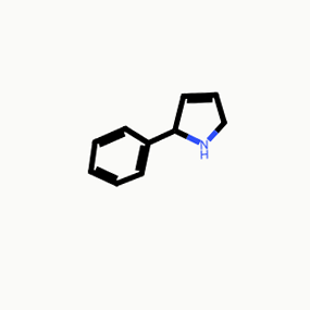 [c]1cccc(C2C=CCN2)c1